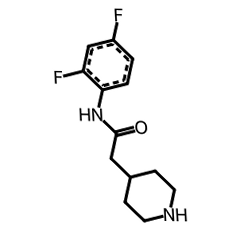 O=C(CC1CCNCC1)Nc1ccc(F)cc1F